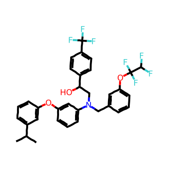 CC(C)c1cccc(Oc2cccc(N(Cc3cccc(OC(F)(F)C(F)F)c3)CC(O)c3ccc(C(F)(F)F)cc3)c2)c1